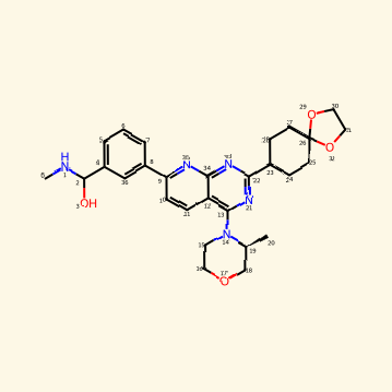 CNC(O)c1cccc(-c2ccc3c(N4CCOC[C@@H]4C)nc(C4CCC5(CC4)OCCO5)nc3n2)c1